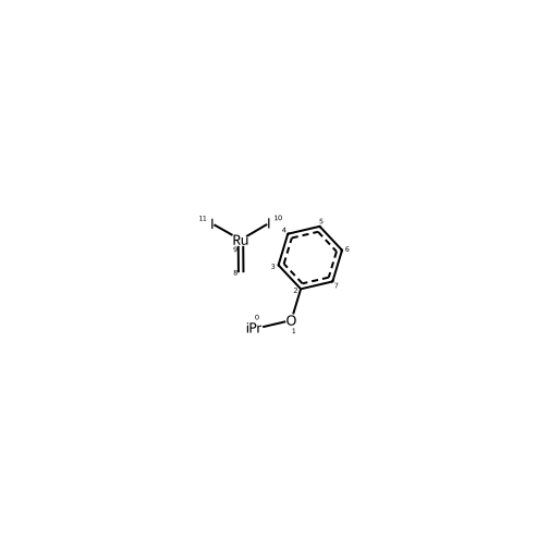 CC(C)Oc1ccccc1.[CH2]=[Ru]([I])[I]